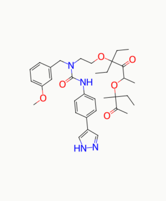 CCC(C)(OC(C)C(=O)C(CC)(CC)OCCN(Cc1cccc(OC)c1)C(=O)Nc1ccc(-c2cn[nH]c2)cc1)C(C)=O